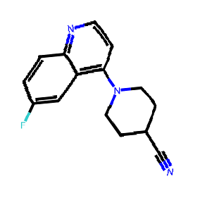 N#CC1CCN(c2ccnc3ccc(F)cc23)CC1